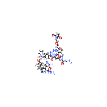 Cc1[nH]nc(CC23CC4(C)CC(C)(C2)CC(OCC[N+]2(Cc5ccc(NC(=O)[C@H](CCCNC(N)=O)NC(=O)[C@@H](NC(=O)CCOCCN6C(=O)C=CC6=O)C(C)C)cc5)CCCC2)(C4)C3)c1-c1cccnc1C(N)=O